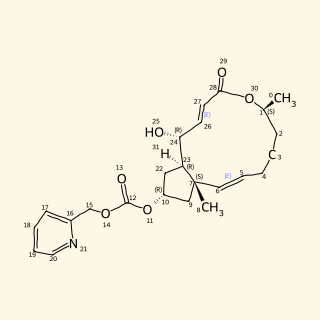 C[C@H]1CCC/C=C/[C@]2(C)C[C@H](OC(=O)OCc3ccccn3)C[C@H]2[C@H](O)/C=C/C(=O)O1